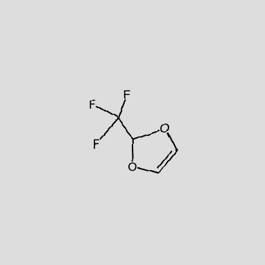 FC(F)(F)C1OC=CO1